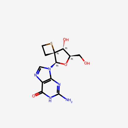 Nc1nc2c(ncn2[C@@H]2O[C@H](CO)[C@@H](O)[C@]23CCS3)c(=O)[nH]1